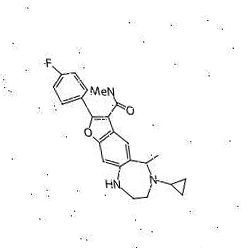 CNC(=O)c1c(-c2ccc(F)cc2)oc2cc3c(cc12)C(C)N(C1CC1)CCN3